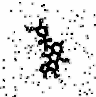 CCCOc1c[n+]([O-])c2[nH]ccc2c1C(=O)c1ncc(C)cc1NS(=O)(=O)c1ccc(Cl)c(C(F)(F)F)c1